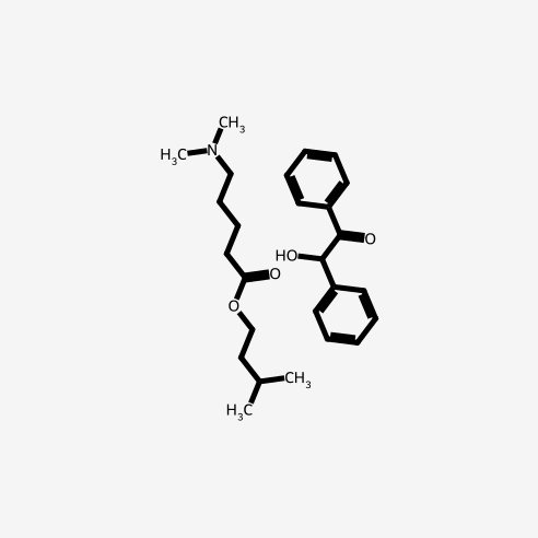 CC(C)CCOC(=O)CCCCN(C)C.O=C(c1ccccc1)C(O)c1ccccc1